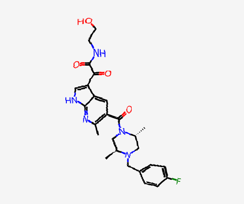 Cc1nc2[nH]cc(C(=O)C(=O)NCCO)c2cc1C(=O)N1C[C@H](C)N(Cc2ccc(F)cc2)C[C@H]1C